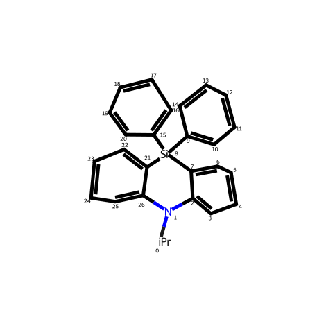 CC(C)N1c2ccccc2[Si](c2ccccc2)(c2ccccc2)c2ccccc21